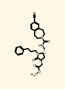 COC(=O)C[C@@H]1C[C@@H](CNC(=O)N2CCc3ccc(C#N)cc3CC2)N(CCCc2ccccc2)C1=O